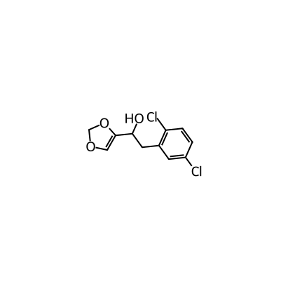 OC(Cc1cc(Cl)ccc1Cl)C1=COCO1